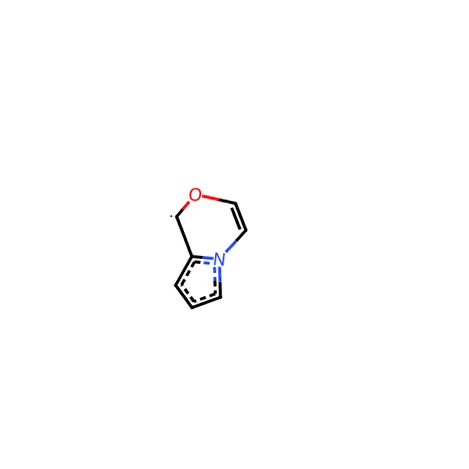 [CH]1OC=Cn2cccc21